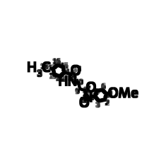 COc1ccc2c(c1)oc(CCNC(=O)c1ccc(C)cc1)[n+]2[O-]